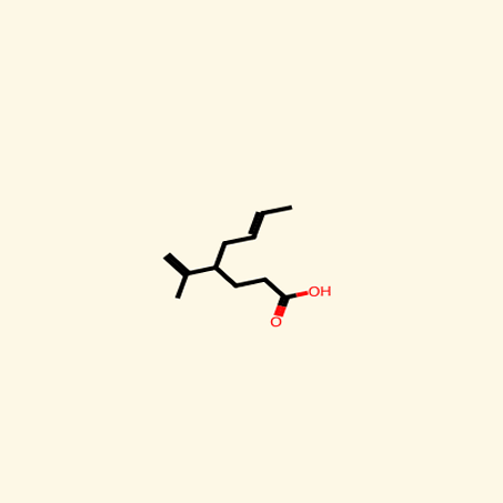 C=C(C)C(CC=CC)CCC(=O)O